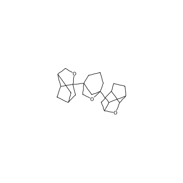 C1CC2(C3C4CC5CCC3C5O4)CC(C34CC5CC(CO3)C4C5)(C1)CO2